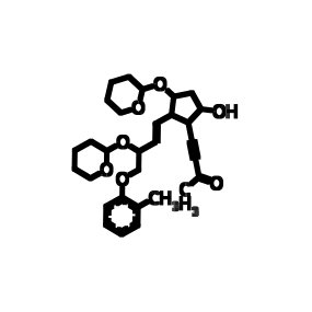 CC(=O)C#CC1C(O)CC(OC2CCCCO2)C1C=CC(COc1ccccc1C)OC1CCCCO1